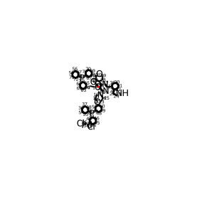 CCS(=O)(=O)C1(c2cc(N3CCOC[C@H]3C)nc(-c3cccc4[nH]ccc34)n2)CCOCC1.[Cl][Pd][Cl].c1ccc(P(c2ccccc2)c2ccccc2)cc1.c1ccc(P(c2ccccc2)c2ccccc2)cc1